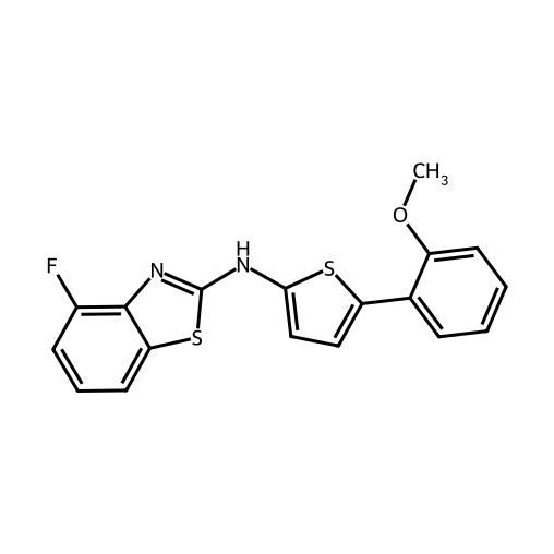 COc1ccccc1-c1ccc(Nc2nc3c(F)cccc3s2)s1